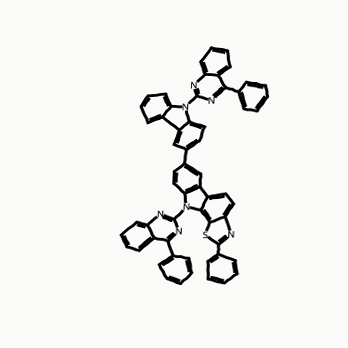 c1ccc(-c2nc3ccc4c5cc(-c6ccc7c(c6)c6ccccc6n7-c6nc(-c7ccccc7)c7ccccc7n6)ccc5n(-c5nc(-c6ccccc6)c6ccccc6n5)c4c3s2)cc1